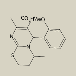 COc1ccccc1C1C(C(=O)O)=C(C)N=C2SCCC(C)N21